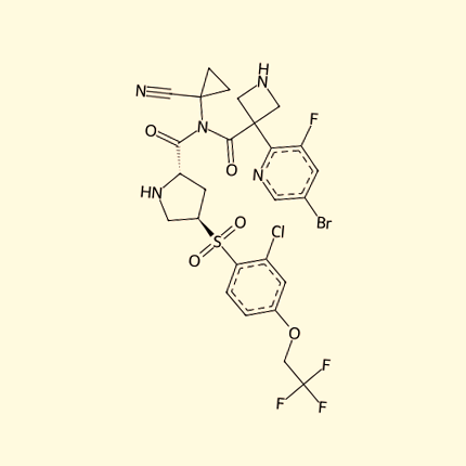 N#CC1(N(C(=O)[C@@H]2C[C@@H](S(=O)(=O)c3ccc(OCC(F)(F)F)cc3Cl)CN2)C(=O)C2(c3ncc(Br)cc3F)CNC2)CC1